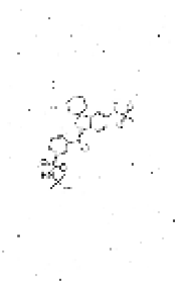 CCC(C)(C)NS(=O)(=O)c1cccc(C(=O)N2CC3(CCCCC3)c3cc(NS(C)(=O)=O)ccc32)c1